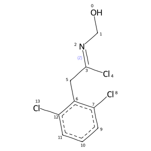 OC/N=C(\Cl)Cc1c(Cl)cccc1Cl